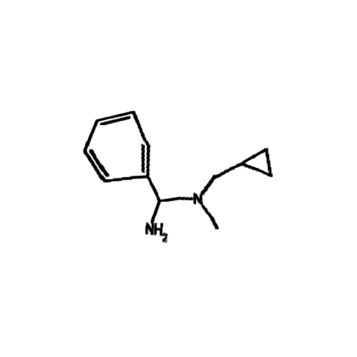 CN(CC1CC1)C(N)c1ccccc1